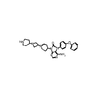 Nc1ncnc2c1n(-c1ccc(Oc3ccccc3)cc1)c(=O)n2C1CCN(C2CN(C3CCNCC3)C2)CC1